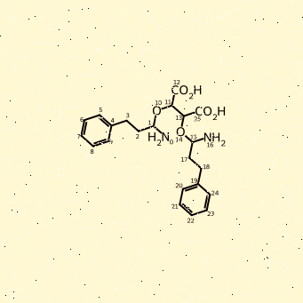 NC(CCc1ccccc1)OC(C(=O)O)C(OC(N)CCc1ccccc1)C(=O)O